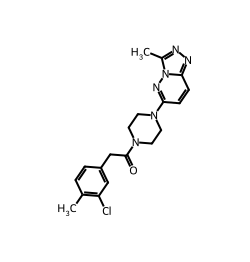 Cc1ccc(CC(=O)N2CCN(c3ccc4nnc(C)n4n3)CC2)cc1Cl